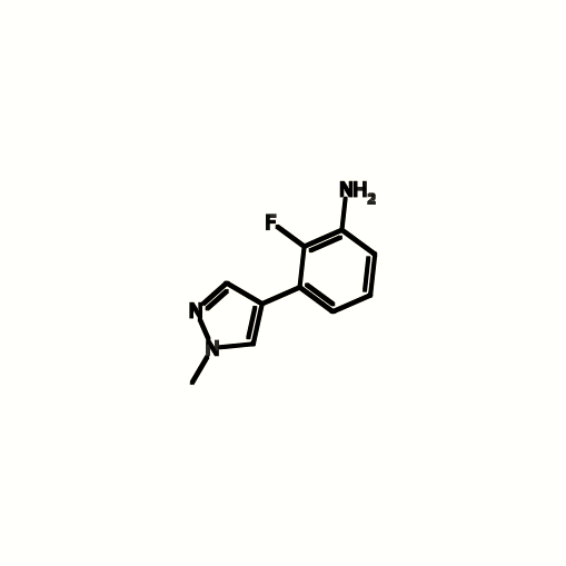 Cn1cc(-c2cccc(N)c2F)cn1